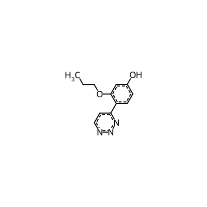 CCCOc1cc(O)ccc1-c1ccnnn1